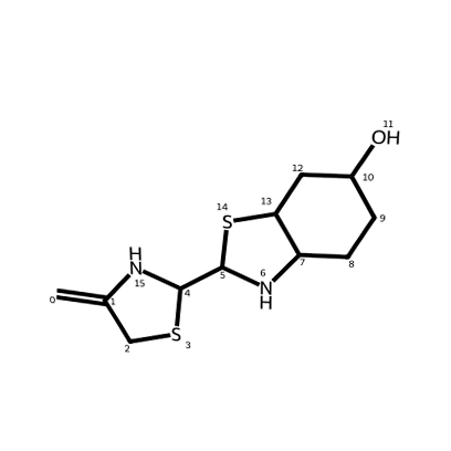 C=C1CSC(C2NC3CCC(O)CC3S2)N1